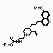 C=C[C@H]1CN(CCNC(=O)OC(C)(C)C)CC[C@H]1CCCc1ccnc2ccc(OC)cc12